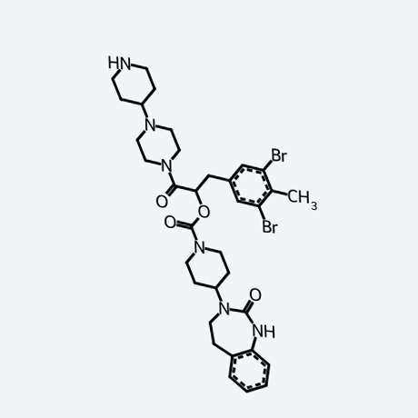 Cc1c(Br)cc(CC(OC(=O)N2CCC(N3CCc4ccccc4NC3=O)CC2)C(=O)N2CCN(C3CCNCC3)CC2)cc1Br